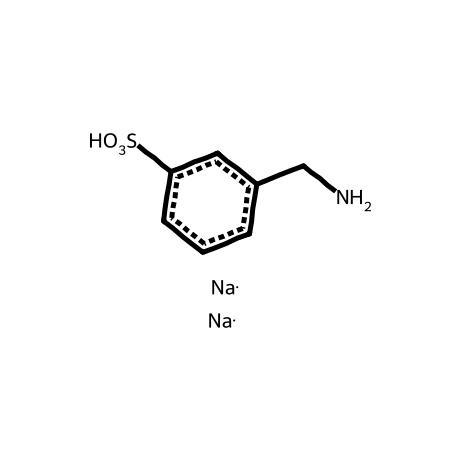 NCc1cccc(S(=O)(=O)O)c1.[Na].[Na]